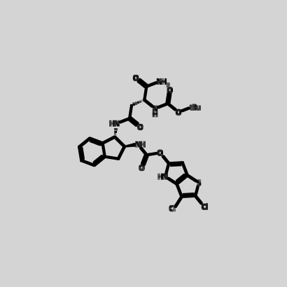 CC(C)(C)OC(=O)N[C@H](CC(=O)N[C@H]1c2ccccc2C[C@@H]1NC(=O)Oc1cc2sc(Cl)c(Cl)c2[nH]1)C(N)=O